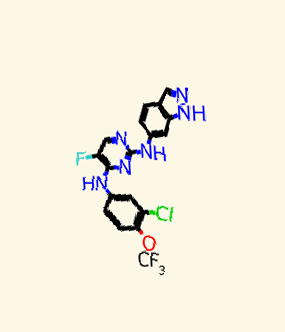 Fc1cnc(Nc2ccc3cn[nH]c3c2)nc1Nc1ccc(OC(F)(F)F)c(Cl)c1